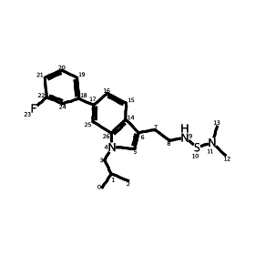 CC(C)Cn1cc(CCNSN(C)C)c2ccc(-c3cccc(F)c3)cc21